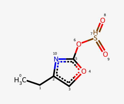 CCc1coc(O[SH](=O)=O)n1